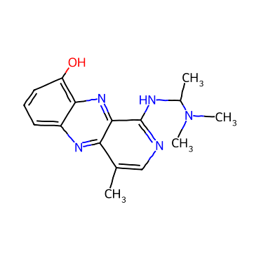 Cc1cnc(NC(C)N(C)C)c2nc3c(O)cccc3nc12